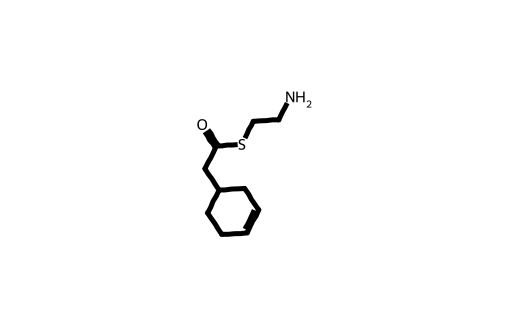 NCCSC(=O)CC1CC=CCC1